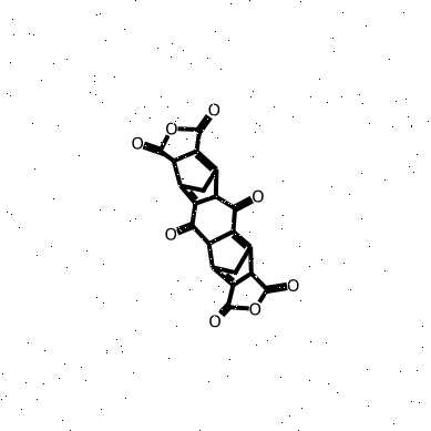 O=C1OC(=O)C2C3=C4C(=O)C5C6=C7C(=O)OC(=O)C7C(=C5C(=O)C4C(=C12)C3)C6